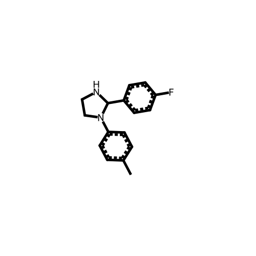 Cc1ccc(N2CCNC2c2ccc(F)cc2)cc1